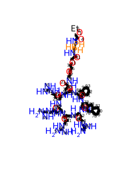 CCOCC(=O)NPPPNC(=O)COCCOCCNC(=O)CC[C@@H]1NC(=O)[C@@H](CCCNC(=N)N)NC(=O)[C@H](CCCNC(=N)N)NC(=O)[C@@H](CCCNC(=N)N)NC(=O)[C@H](CCCNC(=N)N)NC(=O)[C@H](Cc2ccc3ccccc3c2)NC(=O)[C@@H](Cc2ccccc2)NC1=O